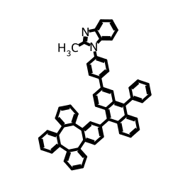 Cc1nc2ccccc2n1-c1ccc(-c2ccc3c(-c4ccc5c(c4)-c4ccccc4-c4ccccc4-c4ccccc4-5)c4ccccc4c(-c4ccccc4)c3c2)cc1